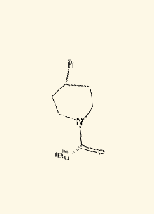 CC[C@@H](C)C(=O)N1CCC(C(C)C)CC1